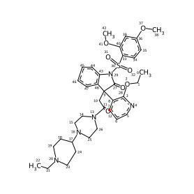 CCOc1ncccc1C1(CC(=O)N2CCN(C3CCN(CC)CC3)CC2)C(=O)N(S(=O)(=O)c2ccc(OC)cc2OC)c2ccccc21